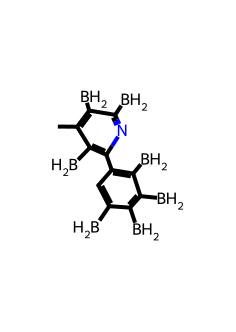 Bc1cc(-c2nc(B)c(B)c(C)c2B)c(B)c(B)c1B